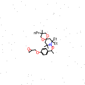 CCCC1(C)COC2(CC(C)(C)N(OC(C)c3ccc(OCC4CO4)cc3)C(CC)(CC)C2)OC1